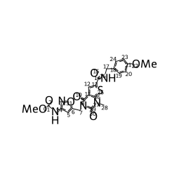 COC(=O)Nc1cc(Cn2c(=O)c3cc(C(=O)NCc4ccc(OC)cc4)sc3n(C)c2=O)on1